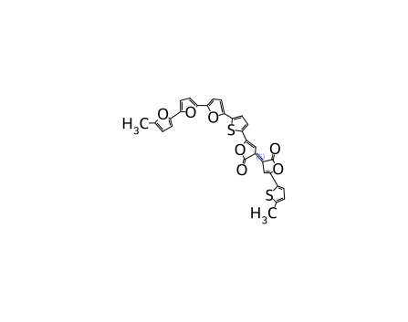 Cc1ccc(-c2ccc(-c3ccc(-c4ccc(C5=C/C(=C6/C=C(c7ccc(C)s7)OC6=O)C(=O)O5)s4)o3)o2)o1